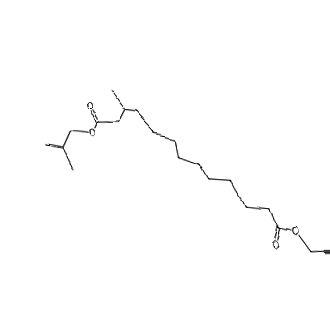 CC(C)COC(=O)CCCCCCCCCC(C)CC(=O)OCC(C)C